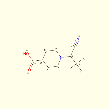 CC(C)(C)C(C#N)N1CCC(C(=O)O)CC1